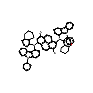 CC(C)c1cc(N(c2cccc3c2CCCC3)c2cccc3c2c2ccccc2n3-c2ccccc2)c2ccc3c(C(C)C)cc(N(c4cccc5c4CCCC5)c4cccc5c6ccccc6n(-c6ccccc6)c45)c4ccc1c2c34